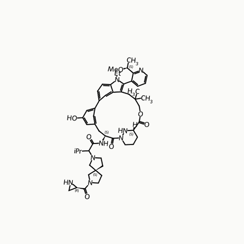 CCn1c(-c2cccnc2[C@H](C)OC)c2c3cc(ccc31)-c1cc(O)cc(c1)C[C@H](NC(=O)C(C(C)C)N1CC[C@]3(CCN(C(=O)[C@H]4CN4)C3)C1)C(=O)N1CCC[C@H](N1)C(=O)OCC(C)(C)C2